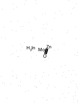 [InH3].[Mo].[O]=[Zn]